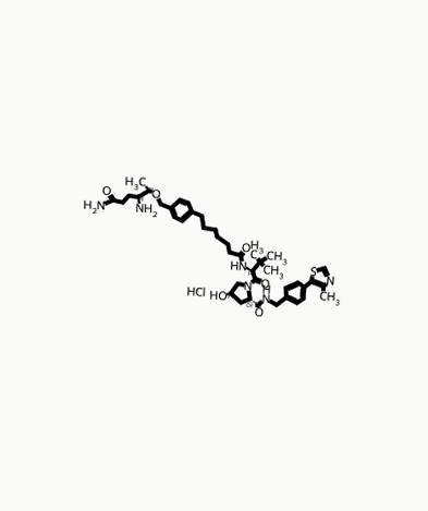 Cc1ncsc1-c1ccc(CNC(=O)[C@@H]2C[C@@H](O)CN2C(=O)[C@@H](NC(=O)CCCCCCc2ccc(CO[C@H](C)[C@@H](N)CCC(N)=O)cc2)C(C)(C)C)cc1.Cl